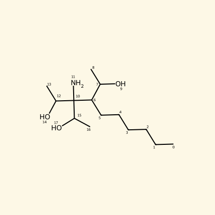 CCCCCCC(C(C)O)C(N)(C(C)O)C(C)O